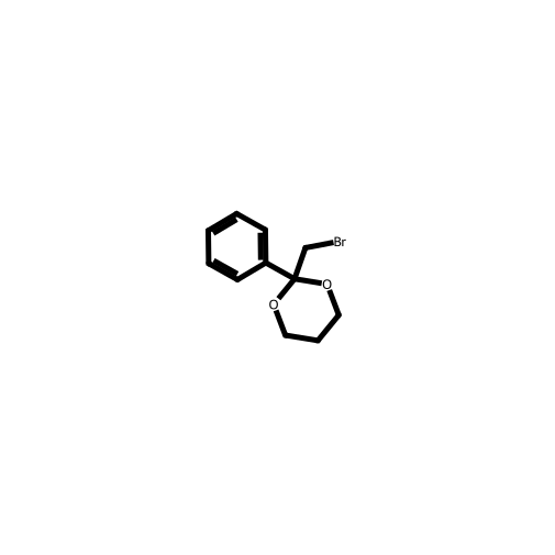 BrCC1(c2ccccc2)OCCCO1